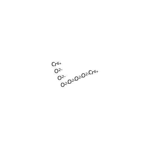 [Cr+6].[Cr+6].[O-2].[O-2].[O-2].[O-2].[O-2].[O-2]